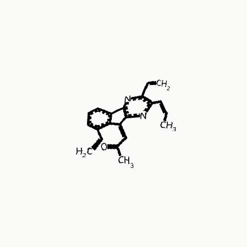 C=Cc1cccc2c1/C(=C\C(C)=O)c1nc(/C=C\C)c(C=C)nc1-2